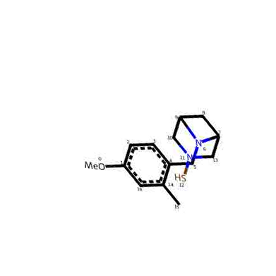 COc1ccc(CN2C3CC2CN(S)C3)c(C)c1